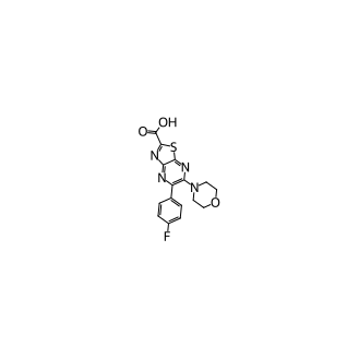 O=C(O)c1nc2nc(-c3ccc(F)cc3)c(N3CCOCC3)nc2s1